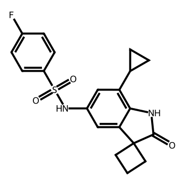 O=C1Nc2c(C3CC3)cc(NS(=O)(=O)c3ccc(F)cc3)cc2C12CCC2